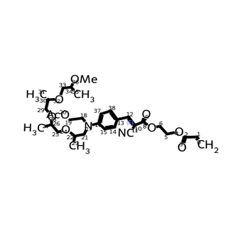 C=CC(=O)OCCOC(=O)/C(C#N)=C/c1ccc(N(CCOC(C)=O)CC(C)OCC(C)OCC(C)OCC(C)OC)cc1